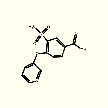 CS(=O)(=O)c1cc(C(=O)O)ccc1Oc1cccnc1